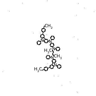 C=Cc1ccc(-c2ccc3c(c2)c2cc(N(/C(C)=C/C=C(\C)N(c4ccccc4)c4ccc(N(c5ccccc5)c5ccc6c(c5)c5cc(-c7ccc(C=C)cc7)ccc5n6-c5ccccc5)cc4)c4ccccc4)ccc2n3-c2ccccc2)cc1